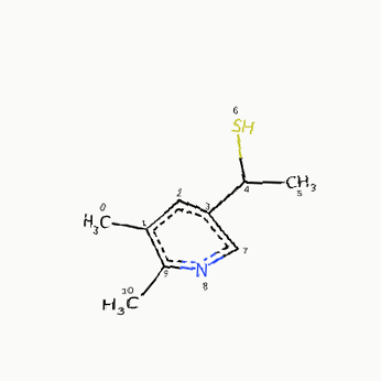 Cc1cc(C(C)S)cnc1C